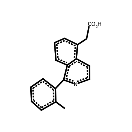 Cc1ccccc1-c1nccc2c(CC(=O)O)cccc12